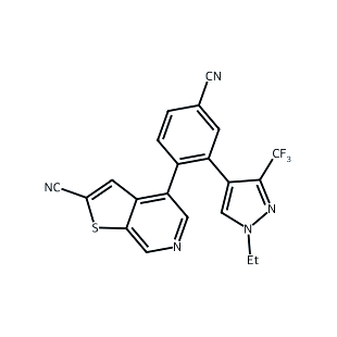 CCn1cc(-c2cc(C#N)ccc2-c2cncc3sc(C#N)cc23)c(C(F)(F)F)n1